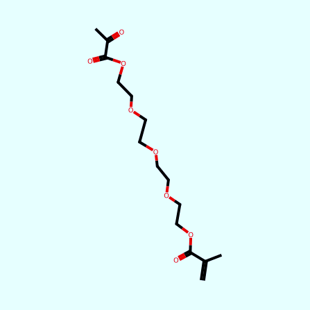 C=C(C)C(=O)OCCOCCOCCOCCOC(=O)C(C)=O